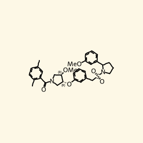 COc1cccc(C2CCCN2S(=O)(=O)Cc2cccc(O[C@@H]3CN(C(=O)c4cc(C)ccc4C)C[C@H]3OC)c2)c1